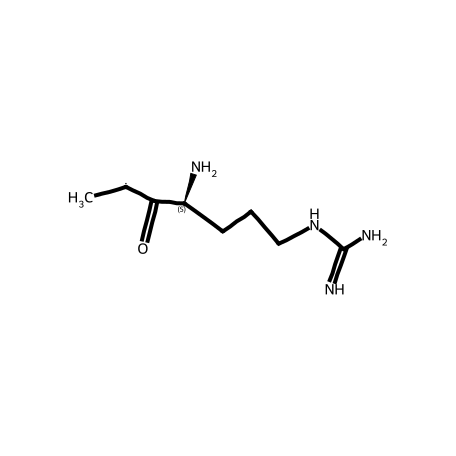 C[CH]C(=O)[C@@H](N)CCCNC(=N)N